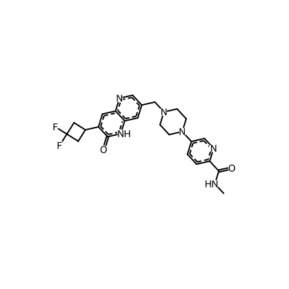 CNC(=O)c1ccc(N2CCN(Cc3cnc4cc(C5CC(F)(F)C5)c(=O)[nH]c4c3)CC2)cn1